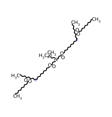 CCCCCCCCCC(=O)OC(C/C=C\CCCCCCCCOC(=O)CCN(CCC(=O)OCCCCCCCC/C=C\CC(CCCCCC)OC(=O)CCCCCCCCC)CCN(CC)CC)CCCCCC